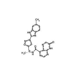 Cc1ccc2nc(-c3cc([C@@H](C)NC(=O)c4ncnc5[nH]c(=O)cnc45)on3)[nH]c2c1